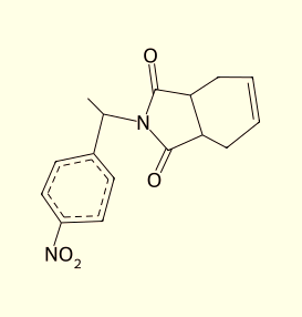 CC(c1ccc([N+](=O)[O-])cc1)N1C(=O)C2CC=CCC2C1=O